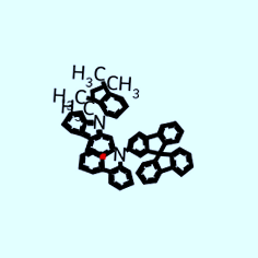 CC1(C)CC(C)(C)c2c(-n3c4ccccc4c4ccc(N(c5ccc6c(c5)C5(c7ccccc7-c7ccccc75)c5ccccc5-6)c5ccccc5-c5ccccc5)cc43)cccc21